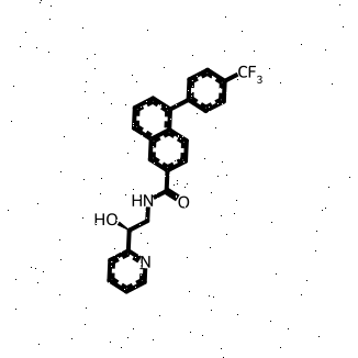 O=C(NC[C@H](O)c1ccccn1)c1ccc2c(-c3ccc(C(F)(F)F)cc3)cccc2c1